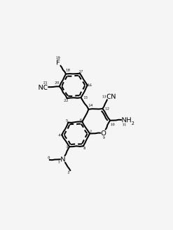 CN(C)c1ccc2c(c1)OC(N)=C(C#N)C2c1ccc(F)c(C#N)c1